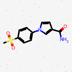 CS(=O)(=O)c1ccc(-n2ccc(C(N)=O)c2)cc1